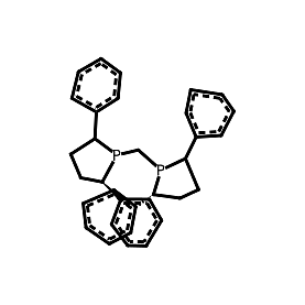 c1ccc(C2CC[C@H](c3ccccc3)P2CP2C(c3ccccc3)CC[C@@H]2c2ccccc2)cc1